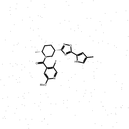 COc1cc(C(=O)N2C[C@@H](c3noc(-c4cc(C)c[nH]4)n3)CC[C@H]2C)c(F)cn1